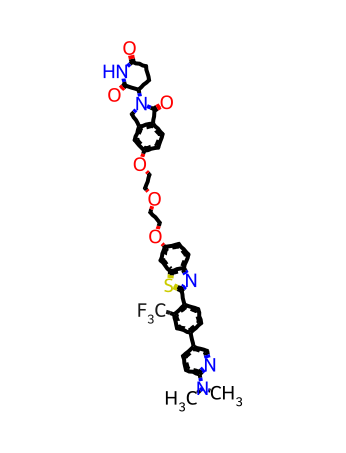 CN(C)c1ccc(-c2ccc(-c3nc4ccc(OCCOCCOc5ccc6c(c5)CN(C5CCC(=O)NC5=O)C6=O)cc4s3)c(C(F)(F)F)c2)cn1